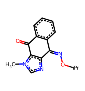 CC(C)ON=C1c2ccccc2C(=O)c2c1ncn2C